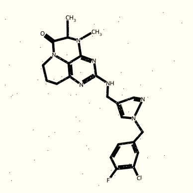 CC1C(=O)N2CCCc3nc(NCc4cnn(Cc5ccc(F)c(Cl)c5)c4)nc(c32)N1C